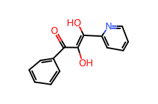 O=C(/C(O)=C(\O)c1ccccn1)c1ccccc1